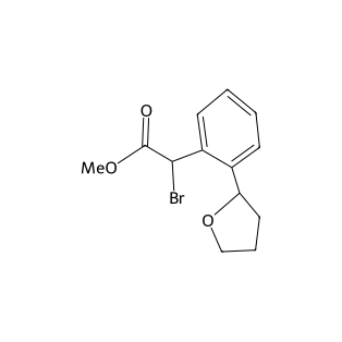 COC(=O)C(Br)c1ccccc1C1CCCO1